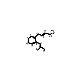 CC(C)CC1=CCCCC1CC=CC=O